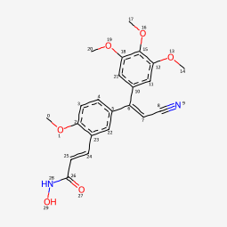 COc1ccc(C(=CC#N)c2cc(OC)c(OC)c(OC)c2)cc1/C=C/C(=O)NO